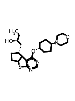 CC[C@H](O)C[C@H]1CCC2Sc3ncnc(O[C@H]4CC[C@H](N5CCOCC5)CC4)c3C21